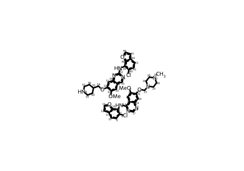 COc1cc2c(Nc3c(Cl)ccc4ccoc34)ncnc2cc1OCN1CCN(C)CC1.COc1cc2cnc(Nc3c(Cl)ccc4ccoc34)nc2cc1OCC1CCNCC1